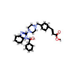 COC(=O)C=Cc1ccc(CN2CCN(c3nc4ccccc4n3C(=O)c3ccccc3)CC2)cc1